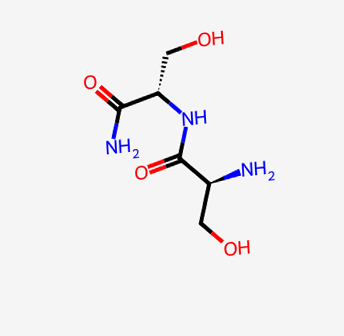 NC(=O)[C@H](CO)NC(=O)[C@@H](N)CO